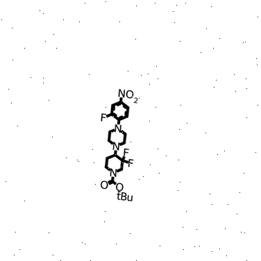 CC(C)(C)OC(=O)N1CCC(N2CCN(c3ccc([N+](=O)[O-])cc3F)CC2)C(F)(F)C1